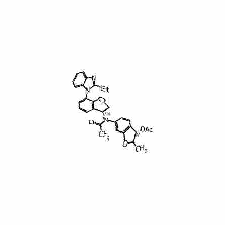 CCc1nc2ccccc2n1-c1cccc2c1OC[C@@H]2N(C(=O)C(F)(F)F)c1ccc2c(c1)OC(C)[C@H]2OC(C)=O